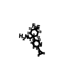 NCC1(c2ccc(C3CC3)nc2)CCC(F)(F)CC1